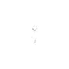 c1cc(-c2ccc3c(c2)c2cccc4c5ccccc5c5ccccc5c5ccccc5n3c42)cc(-c2cccc3c2oc2ccccc23)c1